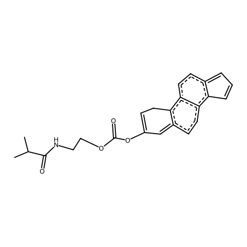 CC(C)C(=O)NCCOC(=O)OC1=CCc2c(ccc3c4c(ccc23)=CC=C4)=C1